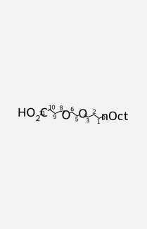 CCCCCCCCCCCOCCOCCCC(=O)O